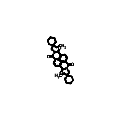 CCC1(CN2C(=O)c3ccc4c5c(ccc(c35)C2=O)C(=O)N(CC2(CC)CCCCC2)C4=O)CCCCC1